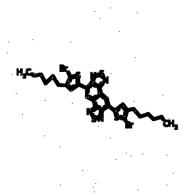 CCCCCCc1cc(-c2cc3c(cc(-c4cc(CCCCCC)c(Br)s4)c4nsnc43)c3nsnc23)sc1Br